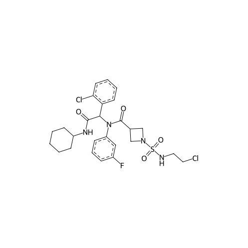 O=C(NC1CCCCC1)C(c1ccccc1Cl)N(C(=O)C1CN(S(=O)(=O)NCCCl)C1)c1cccc(F)c1